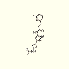 CC(=O)N[C@H]1C[C@@H](c2cc(NC(=O)CCc3cccc(C)n3)[nH]n2)C1